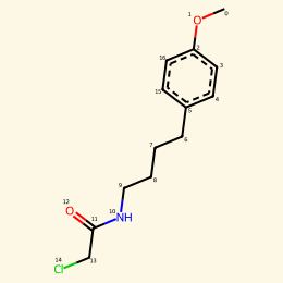 COc1ccc(CCCCNC(=O)CCl)cc1